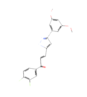 COc1cc(OC)cc(-c2cc(/C=C/C(=O)c3ccc(F)c(F)c3)[nH]n2)c1